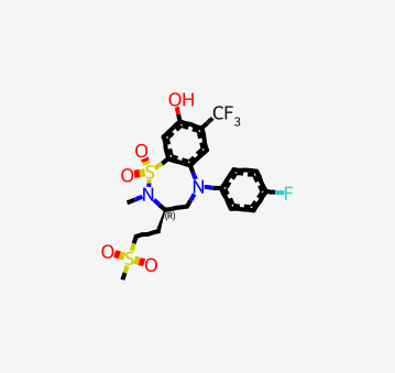 CN1[C@H](CCS(C)(=O)=O)CN(c2ccc(F)cc2)c2cc(C(F)(F)F)c(O)cc2S1(=O)=O